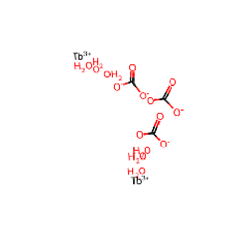 O.O.O.O.O.O.O=C([O-])[O-].O=C([O-])[O-].O=C([O-])[O-].[Tb+3].[Tb+3]